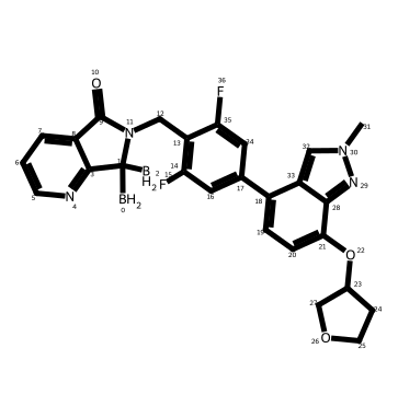 BC1(B)c2ncccc2C(=O)N1Cc1c(F)cc(-c2ccc(OC3CCOC3)c3nn(C)cc23)cc1F